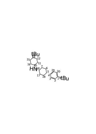 CC(C)(C)c1ccc([C@H]2CC[C@@H](N[C@H]3CC[C@H](C(C)(C)C)CC3)CC2)cc1